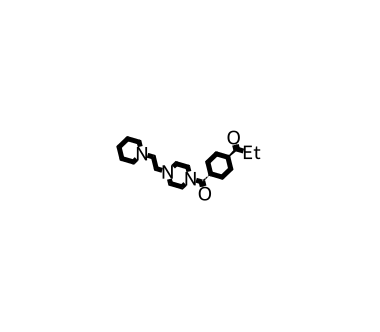 CCC(=O)[C@H]1CC[C@H](C(=O)N2CCN(CCN3CCCCC3)CC2)CC1